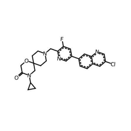 O=C1COC2(CCN(Cc3ncc(-c4ccc5cc(Cl)cnc5c4)cc3F)CC2)CN1C1CC1